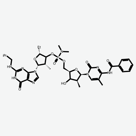 CC[C@H]1O[C@@H](n2cnc3c(=O)[nH]c(NCC(C)C)nc32)[C@@H](C)C1OP(=O)(OC[C@H]1O[C@@H](n2cc(C)c(NC(=O)c3ccccc3)nc2=O)[C@@H](C)C1O)N(C)C